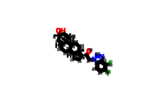 COC[C@]12CC[C@@](C)(O)C[C@H]1CC[C@H]1[C@H]3CC[C@H](C(=O)Cn4nnc5c(F)c(F)ccc54)[C@@]3(C)CC[C@@H]12